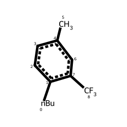 CCCCc1ccc(C)cc1C(F)(F)F